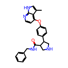 Cc1c[nH]c2nccc(Oc3ccc(C4CNCC4C(=O)NCc4ccccc4)cc3)c12